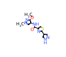 COc1nn(C)cc1NC(=O)c1csc(-c2cn[nH]c2)n1